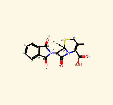 CC1=C(C(=O)O)N2C(=O)C(N3C(=O)c4ccccc4C3=O)[C@@H]2SC1